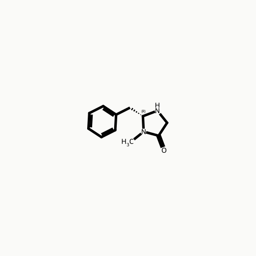 CN1C(=O)CN[C@H]1Cc1ccccc1